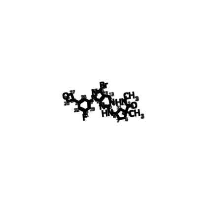 CNC(=O)[C@]1(C)CCC(Nc2ncc3c(Br)nn(-c4cc(F)cc(C5COC5)c4)c3n2)C1